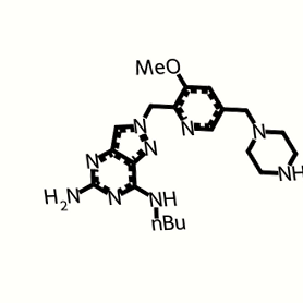 CCCCNc1nc(N)nc2cn(Cc3ncc(CN4CCNCC4)cc3OC)nc12